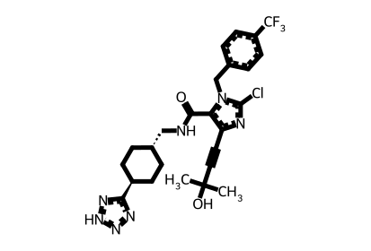 CC(C)(O)C#Cc1nc(Cl)n(Cc2ccc(C(F)(F)F)cc2)c1C(=O)NC[C@H]1CC[C@H](c2nn[nH]n2)CC1